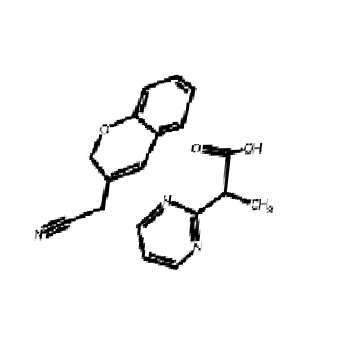 CC(C(=O)O)c1ncccn1.N#CCC1=Cc2ccccc2OC1